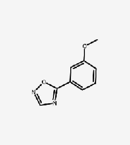 COc1cccc(-c2ncno2)c1